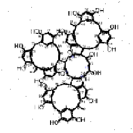 CC1c2cc(c(O)cc2O)Cc2cc(c(O)cc2O)CCC(C2/C=C\C(O)=C/C(O)C(C3CCc4cc(c(O)cc4O)Cc4cc(c(O)cc4O)C(C)c4cc3c(O)cc4O)/C=C\C(C3CCc4cc(c(O)cc4O)Cc4cc(c(O)cc4O)C(C)c4cc3c(O)cc4O)/C=C\2)c2cc1c(O)cc2O